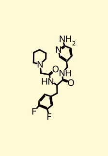 Nc1ccc(CNC(=O)C(Cc2ccc(F)c(F)c2)NC(=O)CN2CCCCC2)cn1